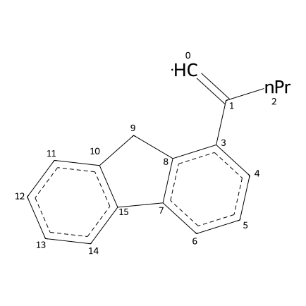 [CH]=C(CCC)c1cccc2c1Cc1ccccc1-2